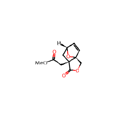 COC(=O)C[C@@]12C[C@@H]3C=C[C@@]1(COC2=O)O3